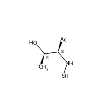 CC(=O)[C@@H](NS)[C@@H](C)O